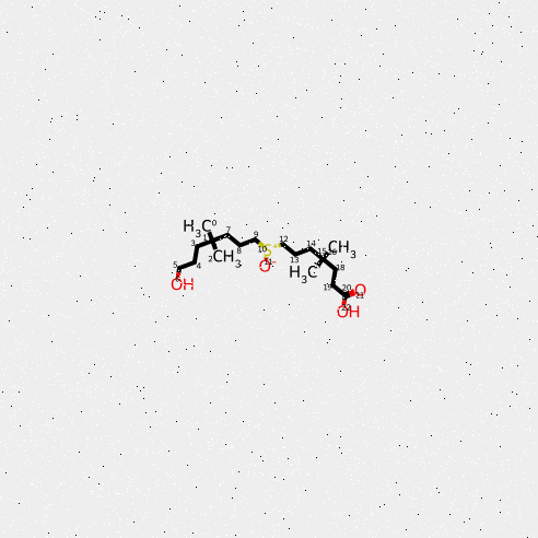 CC(C)(CCCO)CCC[S+]([O-])CCCC(C)(C)CCC(=O)O